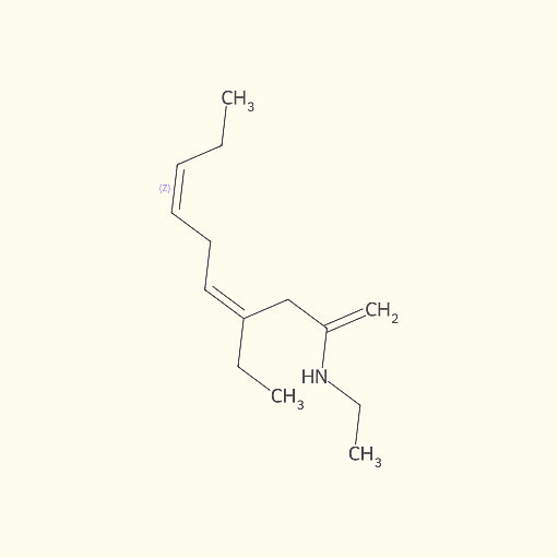 C=C(CC(=CC/C=C\CC)CC)NCC